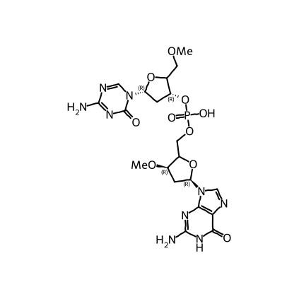 COCC1O[C@@H](n2cnc(N)nc2=O)C[C@H]1OP(=O)(O)OCC1O[C@@H](n2cnc3c(=O)[nH]c(N)nc32)C[C@H]1OC